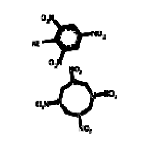 Cc1c([N+](=O)[O-])cc([N+](=O)[O-])cc1[N+](=O)[O-].O=[N+]([O-])N1CN([N+](=O)[O-])CN([N+](=O)[O-])CN([N+](=O)[O-])C1.[Al]